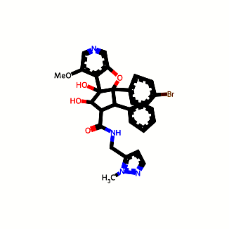 COc1cncc2c1C1(O)C(O)C(C(=O)NCc3ccnn3C)C(c3ccccc3)C1(c1ccc(Br)cc1)O2